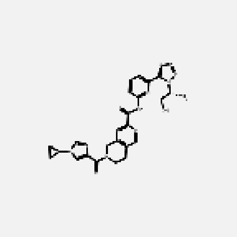 C[C@H](CO)n1nnnc1-c1cccc(NC(=O)c2cc3c(cn2)CCN(C(=O)c2cn(C4CC4)cn2)C3)n1